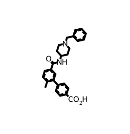 Cc1ccc(C(=O)NC2CCN(Cc3ccccc3)CC2)cc1-c1ccc(C(=O)O)cc1